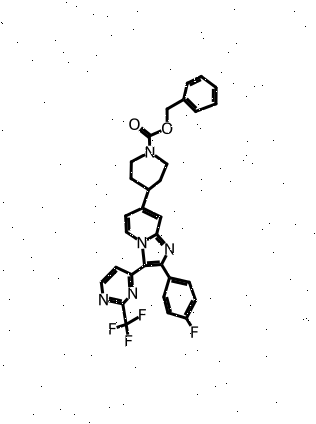 O=C(OCc1ccccc1)N1CCC(c2ccn3c(-c4ccnc(C(F)(F)F)n4)c(-c4ccc(F)cc4)nc3c2)CC1